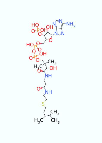 CC(C)C(C)CCSCCNC(=O)CCNC(=O)C(O)C(C)(C)COP(=O)(O)OP(=O)(O)OCC1OC(n2cnc3c(N)ncnc32)C(O)C1OP(=O)(O)O